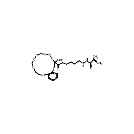 C=C(C)C(=O)NNCCCCCC(=O)C1(C=O)COCCOCCOCCOc2ccccc2O1